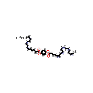 CC/C=C\C/C=C\C/C=C\C/C=C\C/C=C\CCCC(=O)Oc1ccc(OC(=O)CCCC/C=C\C/C=C\C/C=C\CCCCC)cc1